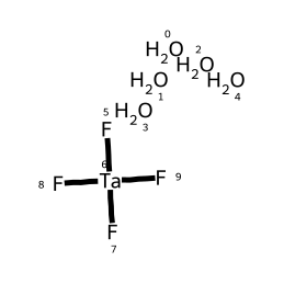 O.O.O.O.O.[F][Ta]([F])([F])[F]